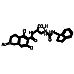 CC(=O)N1CCc2c(cc(Cl)c(C(=O)NC(CNC(=O)NC3CCc4ccccc43)C(=O)O)c2Cl)C1